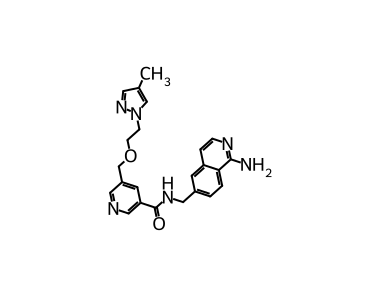 Cc1cnn(CCOCc2cncc(C(=O)NCc3ccc4c(N)nccc4c3)c2)c1